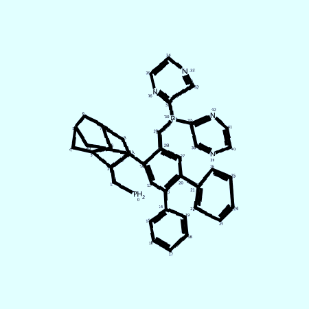 PCC1C2CC3CC(C2)CC1(c1cc(-c2ccccc2)c(-c2ccccc2)cc1CP(c1cnccn1)c1cnccn1)C3